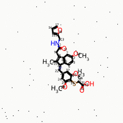 COc1ccc2c(c1)C(CC(=O)NCc1ccco1)=C(C)/C2=C/c1cc(OC)c(SCC(=O)O)c(OC)c1